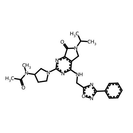 CC(=O)N(C)C1CCN(c2nc(NCc3nc(-c4ccccc4)no3)c3c(n2)C(=O)N(C(C)C)C3)C1